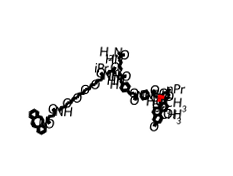 CCCC1O[C@@H]2C[C@H]3[C@@H]4CCC5=CC(=O)C=C[C@]5(C)[C@@]4(F)[C@@H](O)C[C@]3(C)[C@]2(C(O)COC(=O)N2CCN(C(=O)OCc3ccc(NC(=O)[C@H](CCCNC(N)=O)NC(=O)[C@@H](NC(=O)CCOCCOCCOCCOCCNC(=O)CCC(=O)N4Cc5ccccc5C#Cc5ccccc54)C(C)C)cc3)CC2)O1